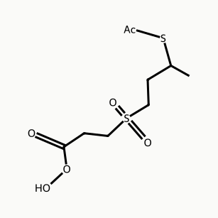 CC(=O)SC(C)CCS(=O)(=O)CCC(=O)OO